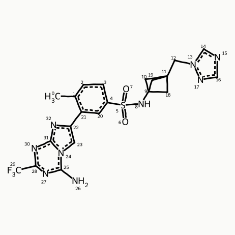 Cc1ccc(S(=O)(=O)NC23CC(Cn4cncn4)(C2)C3)cc1-c1cn2c(N)nc(C(F)(F)F)nc2n1